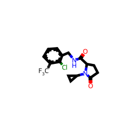 O=C(NCc1cccc(C(F)(F)F)c1Cl)C1CCC(=O)N1C1CC1